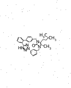 Cc1c(CCC(C)C)n(Cc2ccc(-c3ccccc3-c3nnn[nH]3)cc2)c(=O)n1Cc1ccccc1